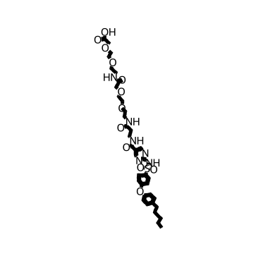 CCCCCc1ccc(Oc2ccc(S(=O)(=O)Nc3ncc(C(=O)NCCC(=O)NCCOCCOCC(=O)NCCOCCOCC(=O)O)cn3)cc2)cc1